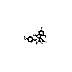 COC(=O)C1(CC=O)c2c(Br)cc(F)cc2C(=O)N1Cc1ccc(OC)cc1